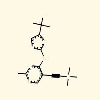 CC(C)(O)c1csc(Nc2nc(Cl)ncc2C#C[Si](C)(C)C)n1